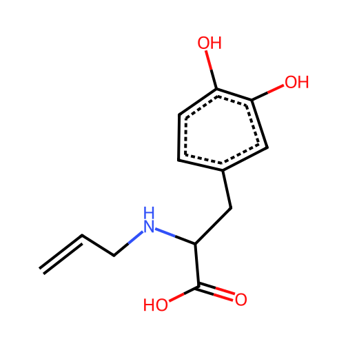 C=CCNC(Cc1ccc(O)c(O)c1)C(=O)O